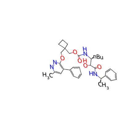 CCCC[C@H](NC(=O)OCC1(COc2nnc(C)cc2-c2ccccc2)CCC1)C(O)C(=O)N[C@H](C)c1ccccc1